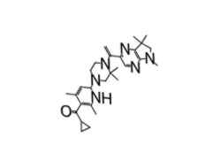 C=C(c1cnc2c(n1)C(C)(C)CN2C)N1CCN(C2C=C(C)C(C(=O)C3CC3)=C(C)N2)CC1(C)C